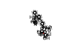 COc1ccc([C@H](Cc2c(Cl)c[n+](O)cc2Cl)C2C(C(=O)[O-])CN2C(=O)c2ccc(COc3cccc([C@@H](NC(=O)O[C@H]4CN5CCC4CC5)c4ccccc4)c3)cc2)cc1OC